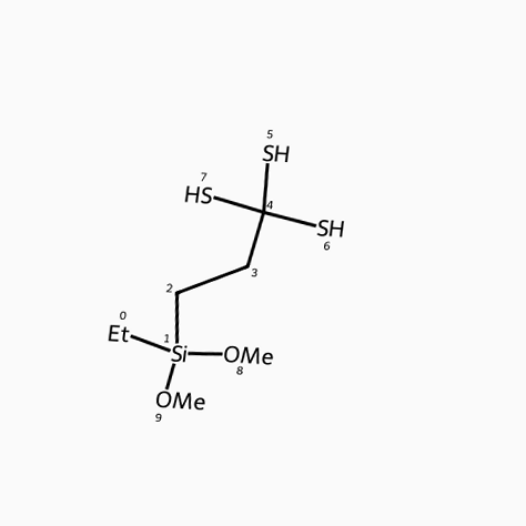 CC[Si](CCC(S)(S)S)(OC)OC